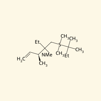 C=C[C@H](C)C(CC)(CS(C)(C)C(C)(C)CC)NC